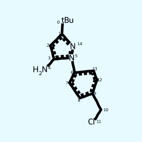 CC(C)(C)c1cc(N)n(-c2ccc(CCl)cc2)n1